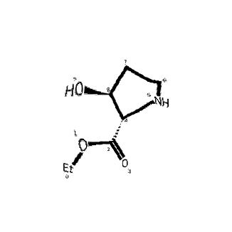 CCOC(=O)[C@H]1NCC[C@@H]1O